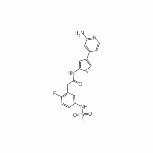 CS(=O)(=O)Nc1ccc(F)c(CC(=O)Nc2cc(-c3ccnc(N)c3)cs2)c1